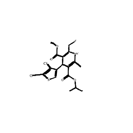 COC(=O)C1=C(CF)NC(C)=C(C(=O)OC(C)C)C1c1csc(Cl)c1Cl